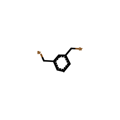 BrCc1c[c]cc(CBr)c1